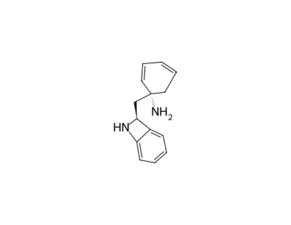 N[C@]1(C[C@@H]2Nc3ccccc32)C=CC=CC1